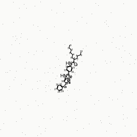 CCCCCCC(CCCC)C(=O)Nc1ccc(-c2nn3nc(Sc4ccccc4)cc3[nH]2)cc1